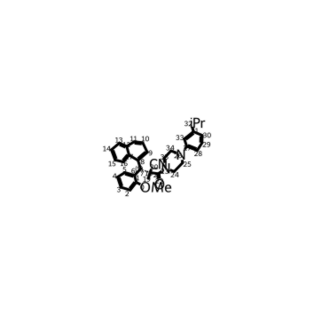 COc1ccccc1[C@H](c1cccc2ccccc12)C(C)(C#N)C(=O)N1CCN(c2cccc(C(C)C)c2)CC1